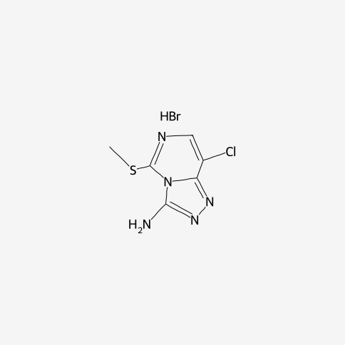 Br.CSc1ncc(Cl)c2nnc(N)n12